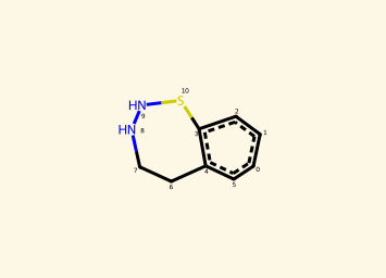 c1ccc2c(c1)CCNNS2